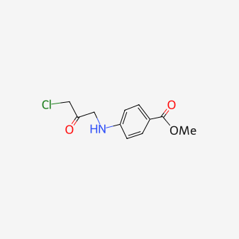 COC(=O)c1ccc(NCC(=O)CCl)cc1